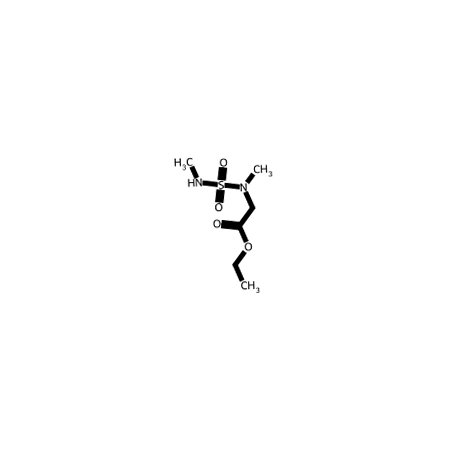 CCOC(=O)CN(C)S(=O)(=O)NC